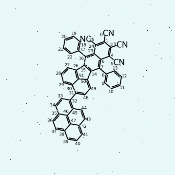 N#Cc1c(C#N)c(C#N)c2c(-c3ccccc3)c3c(c(-c4ccccc4)c2c1C#N)-c1cccc2c(-c4ccc5ccc6cccc7ccc4c5c67)ccc-3c12